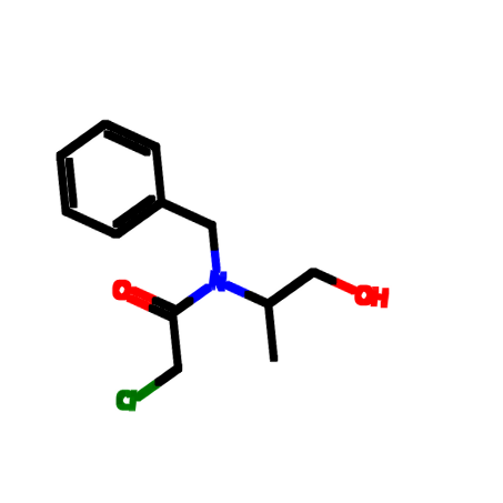 CC(CO)N(Cc1ccccc1)C(=O)CCl